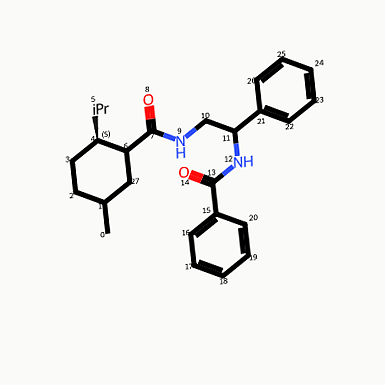 CC1CC[C@@H](C(C)C)C(C(=O)NCC(NC(=O)c2ccccc2)c2ccccc2)C1